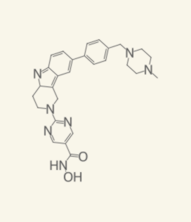 CN1CCN(Cc2ccc(-c3ccc4c(c3)=C3CN(c5ncc(C(=O)NO)cn5)CCC3N=4)cc2)CC1